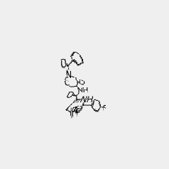 CC(C)C[C@H](NC(=O)c1ccc(F)cc1)C(=O)NC1CCCN(C(=O)c2ccccc2)CC1=O